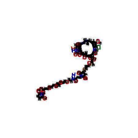 COc1cc2cc(c1Cl)N(C)C(=O)C[C@H](OC(=O)[C@H](C)OCCCSC1CC(=O)N(CCC(=O)NCCOCCOCCOCCOCCC(=O)ON3C(=O)CCC3=O)C1=O)[C@@]1(C)CC(C)(O1)C1C[C@@](O)(NC(=O)O1)[C@H](OC)/C=C/C=C(\C)C2